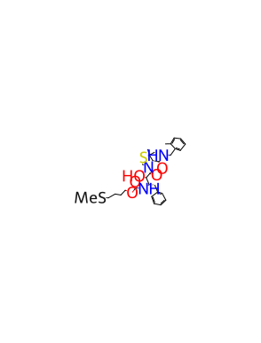 CSCCCCOC(=O)N[C@@H](Cc1ccccc1)[C@H](O)C(=O)N1CSC(C)(C)[C@H]1C(=O)NCc1ccccc1C